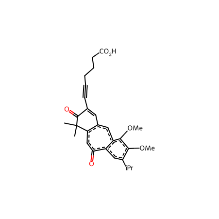 COc1c(C(C)C)cc2c(=O)cc3c(cc2c1OC)C=C(C#CCCCC(=O)O)C(=O)C3(C)C